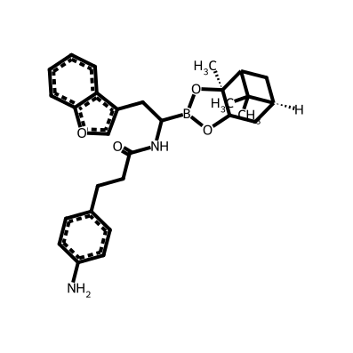 CC1(C)C2C[C@H]1CC1OB(C(Cc3coc4ccccc34)NC(=O)CCc3ccc(N)cc3)O[C@]12C